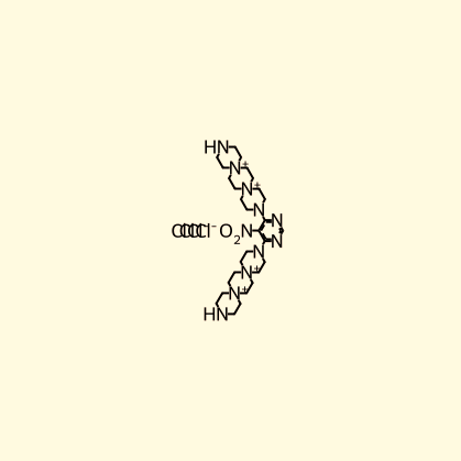 O=[N+]([O-])c1c(N2CC[N+]3(CC2)CC[N+]2(CCNCC2)CC3)ncnc1N1CC[N+]2(CC1)CC[N+]1(CCNCC1)CC2.[Cl-].[Cl-].[Cl-].[Cl-]